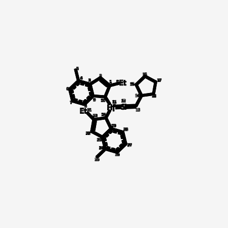 CCC1=Cc2c(C)cccc2[CH]1[Hf](=[Si]=CC1CCCC1)[CH]1C(CC)=Cc2c(C)cccc21